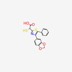 O=C(O)C(S)c1nc(-c2ccc3c(c2)OCO3)c(-c2ccccc2)s1